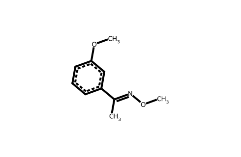 CON=C(C)c1cccc(OC)c1